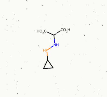 O=C(O)C(NPC1CC1)C(=O)O